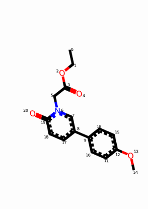 CCOC(=O)Cn1cc(-c2ccc(OC)cc2)ccc1=O